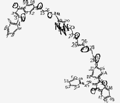 O=c1cc(-c2ccccc2)oc2cc(OCCOCc3cn(CCOCCOCCOc4ccc(-c5oc6ccccc6c(=O)c5CCc5ccccc5)cc4)nn3)ccc12